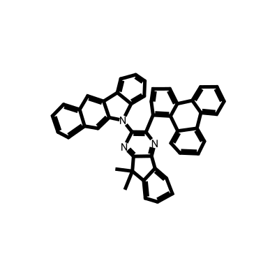 CC1(C)c2ccccc2-c2nc(-c3cccc4c5ccccc5c5ccccc5c34)c(-n3c4ccccc4c4cc5ccccc5cc43)nc21